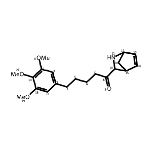 COc1cc(CCCCC(=O)C2NC3C=CC2C3)cc(OC)c1OC